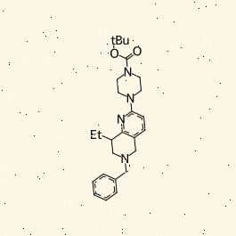 CCC1CN(Cc2ccccc2)Cc2ccc(N3CCN(C(=O)OC(C)(C)C)CC3)nc21